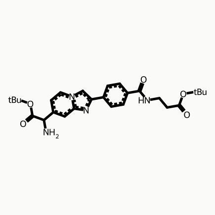 CC(C)(C)OC(=O)CCNC(=O)c1ccc(-c2cn3ccc(C(N)C(=O)OC(C)(C)C)cc3n2)cc1